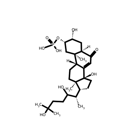 C[C@H](C(O)CCC(C)(C)O)[C@H]1CC[C@@]2(O)C3=CC(=O)[C@@H]4C[C@@H](O)[C@@H](OP(=O)(O)O)C[C@]4(C)[C@H]3CC[C@]12C